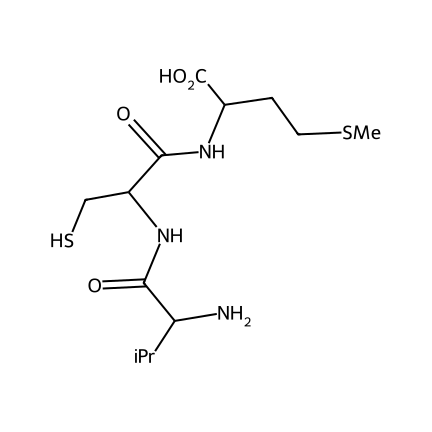 CSCCC(NC(=O)C(CS)NC(=O)C(N)C(C)C)C(=O)O